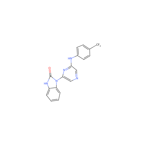 O=c1[nH]c2ccccc2n1-c1cncc(Nc2ccc(C(F)(F)F)cc2)n1